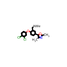 CNCc1cc(-c2oc(C)nc2C)ccc1Oc1ccc(Cl)c(Cl)c1